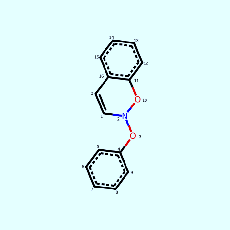 C1=CN(Oc2ccccc2)Oc2ccccc21